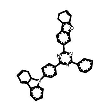 C1=CCC2C(=C1)c1ccccc1N2c1ccc(-c2nc(-c3ccccc3)nc(-c3ccc4c5c(oc4c3)C=CCC5)n2)cc1